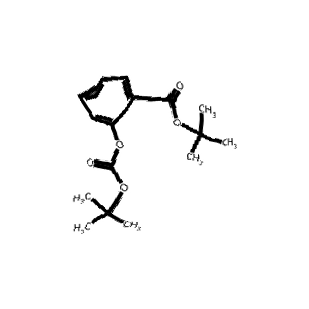 CC(C)(C)OC(=O)Oc1ccccc1C(=O)OC(C)(C)C